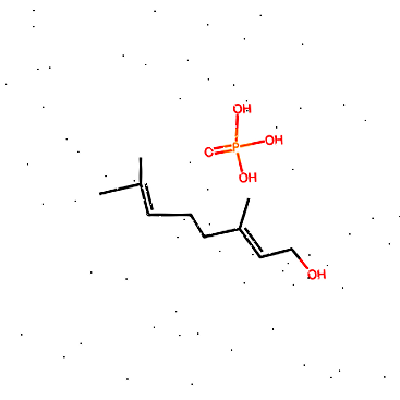 CC(C)=CCC/C(C)=C/CO.O=P(O)(O)O